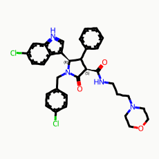 O=C(NCCCN1CCOCC1)[C@H]1C(=O)N(Cc2ccc(Cl)cc2)[C@@H](c2c[nH]c3cc(Cl)ccc23)C1c1ccccc1